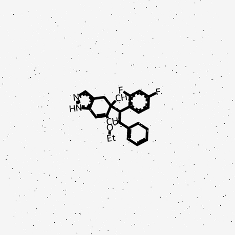 CCO[C@@H](C1=CC=CCC1)C(c1ccc(F)cc1F)C1(C)Cc2cn[nH]c2C=C1C